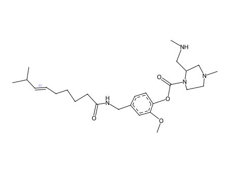 CNCC1CN(C)CCN1C(=O)Oc1ccc(CNC(=O)CCCC/C=C/C(C)C)cc1OC